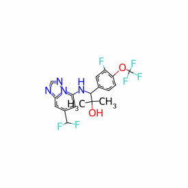 CC(C)(O)C(Nc1cc(C(F)F)cc2ncnn12)c1ccc(OC(F)(F)F)c(F)c1